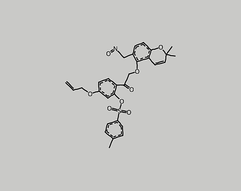 C=CCOc1ccc(C(=O)COc2c(CN=O)ccc3c2C=CC(C)(C)O3)c(OS(=O)(=O)c2ccc(C)cc2)c1